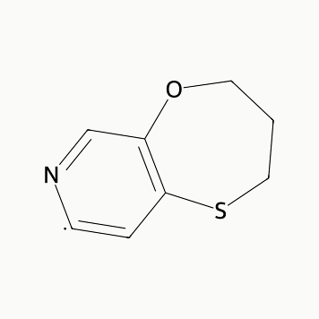 [c]1cc2c(cn1)OCCCS2